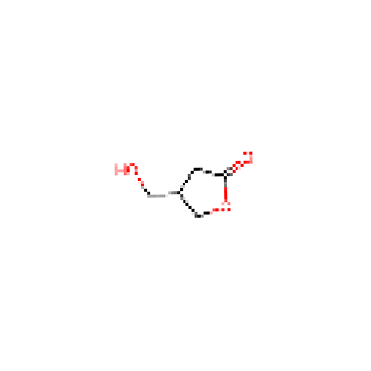 O=C1CC(CO)CO1